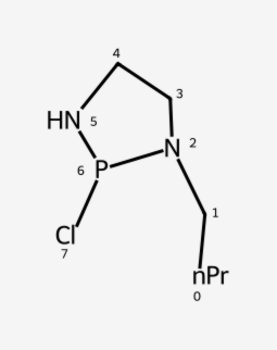 CCCCN1CCNP1Cl